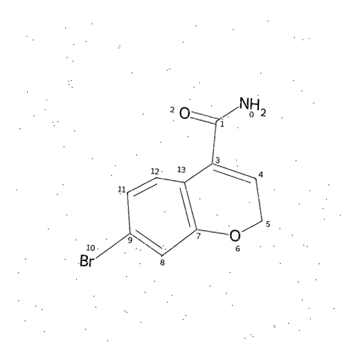 NC(=O)C1=CCOc2cc(Br)ccc21